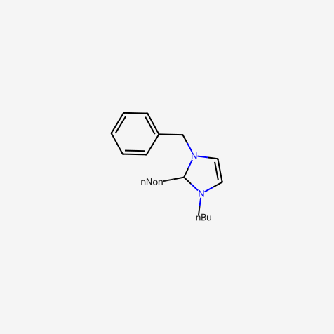 CCCCCCCCCC1N(CCCC)C=CN1Cc1ccccc1